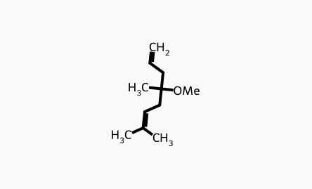 C=CCC(C)(CC=C(C)C)OC